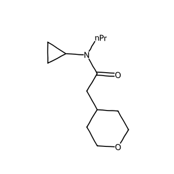 CCCN(C(=O)CC1CCOCC1)C1CC1